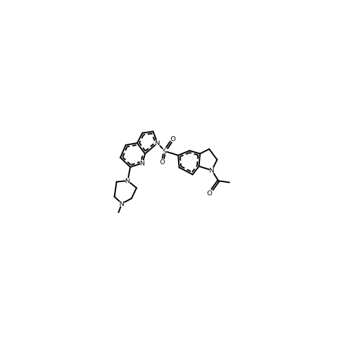 CC(=O)N1CCc2cc(S(=O)(=O)n3ccc4ccc(N5CCN(C)CC5)nc43)ccc21